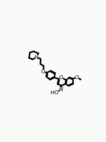 COc1ccc2/c(=N/O)cc(-c3ccc(OCCCN4CCCCC4)cc3)oc2c1